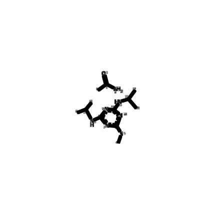 CC(N)=O.CSc1nc(NC(C)C)nc(NC(C)C)n1